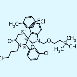 Cc1ccc(F)cc1[C@H]1CC(=O)N(CCCCl)[C@H](c2cccc(Cl)c2)[C@]12C(=O)N(COCC[Si](C)(C)C)c1cc(Cl)ccc12